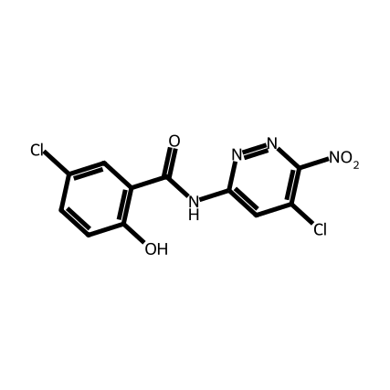 O=C(Nc1cc(Cl)c([N+](=O)[O-])nn1)c1cc(Cl)ccc1O